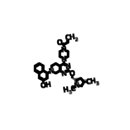 C=CC(=O)N1CCN(c2nc(OC[C@@H]3C[C@@H](C)CN3C)nc3c2CCN(c2cc(O)cc4ccccc24)C3)CC1